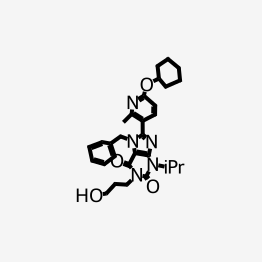 Cc1nc(OC2CCCCC2)ccc1-c1nc2c(c(=O)n(CCCO)c(=O)n2C(C)C)n1Cc1ccccc1